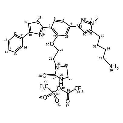 C[n+]1nn(-c2ccc(-c3nc(-c4ccccc4)cs3)c(OCCN3CCNC3=O)c2)cc1CCCCN.O=C(OS(=O)(=O)C(F)(F)F)C(F)(F)F